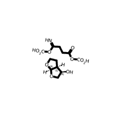 N=C(CCC(=O)OC(=O)O)OC(=O)O.O[C@H]1CO[C@H]2OCC[C@H]21